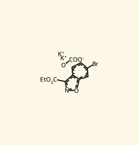 CCOC(=O)c1noc2cc(Br)ccc12.O=C([O-])[O-].[K+].[K+]